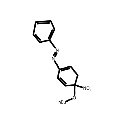 CCCCOC1([N+](=O)[O-])C=CC(N=Nc2ccccc2)=CC1